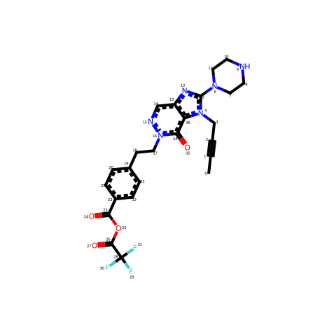 CC#CCn1c(N2CCNCC2)nc2cnn(CCc3ccc(C(=O)OC(=O)C(F)(F)F)cc3)c(=O)c21